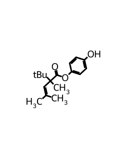 CC(C)=CC(C)(C(=O)Oc1ccc(O)cc1)C(C)(C)C